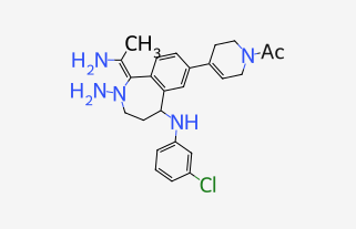 CC(=O)N1CC=C(c2ccc3c(c2)C(Nc2cccc(Cl)c2)CCN(N)/C3=C(/C)N)CC1